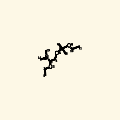 CCOC(COC(C)(C)OCC)N(C)C